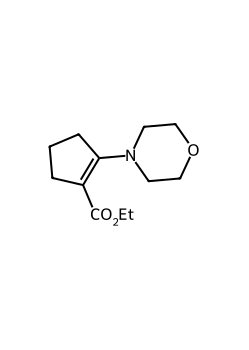 CCOC(=O)C1=C(N2CCOCC2)CCC1